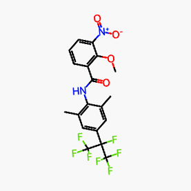 COc1c(C(=O)Nc2c(C)cc(C(F)(C(F)(F)F)C(F)(F)F)cc2C)cccc1[N+](=O)[O-]